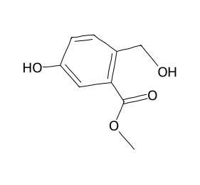 COC(=O)c1cc(O)ccc1CO